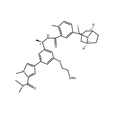 COCCOc1cc(-c2cc(C(=O)N(C)C)n(C)c2)cc([C@@H](C)NC(=O)c2cc(N3C[C@H]4CC[C@@H](C3)N4CI)ccc2C)c1